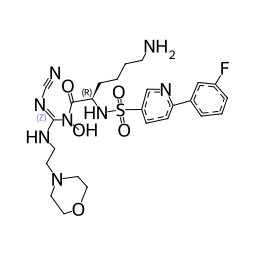 N#C/N=C(/NCCN1CCOCC1)N(O)C(=O)[C@@H](CCCCN)NS(=O)(=O)c1ccc(-c2cccc(F)c2)nc1